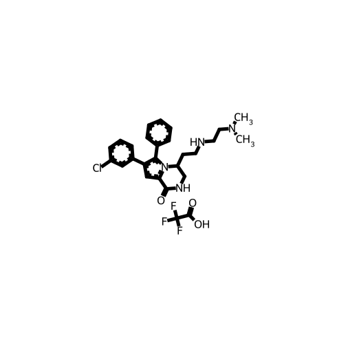 CN(C)CCNCCC1CNC(=O)c2cc(-c3cccc(Cl)c3)c(-c3ccccc3)n21.O=C(O)C(F)(F)F